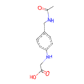 CC(=O)NCc1ccc(NCC(=O)O)cc1